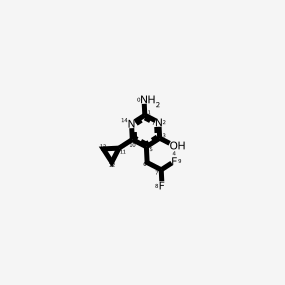 Nc1nc(O)c(CC(F)F)c(C2CC2)n1